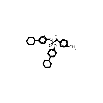 Cc1ccc(C(=O)P(=O)(Oc2ccc(C3CCCCC3)cc2)Oc2ccc(C3CCCCC3)cc2)cc1